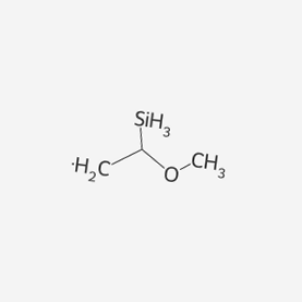 [CH2]C([SiH3])OC